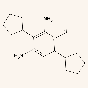 C=Cc1c(C2CCCC2)cc(N)c(C2CCCC2)c1N